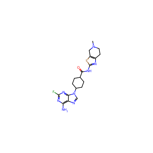 CN1CCc2nc(NC(=O)C3CCC(n4cnc5c(N)nc(F)nc54)CC3)sc2C1